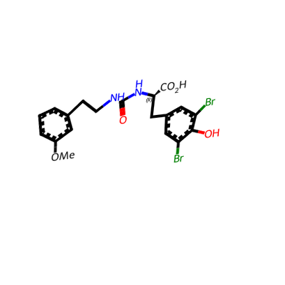 COc1cccc(CCNC(=O)N[C@H](Cc2cc(Br)c(O)c(Br)c2)C(=O)O)c1